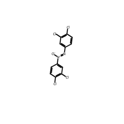 [O-][N+](=Nc1ccc(Cl)c(Cl)c1)c1ccc(Cl)c(Cl)c1